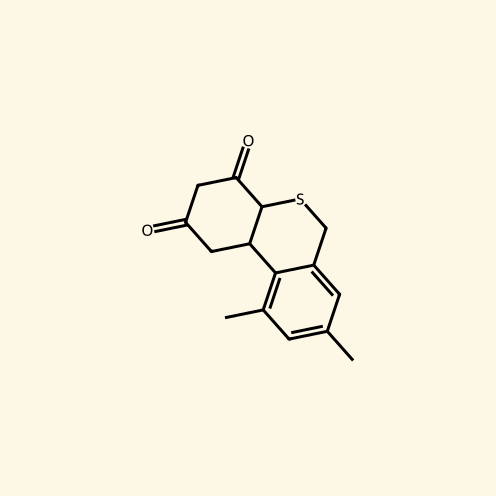 Cc1cc(C)c2c(c1)CSC1C(=O)CC(=O)CC21